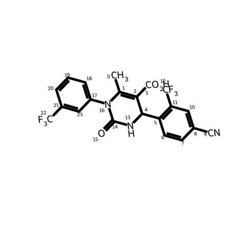 CC1=C(C(=O)O)C(c2ccc(C#N)cc2C(F)(F)F)NC(=O)N1c1cccc(C(F)(F)F)c1